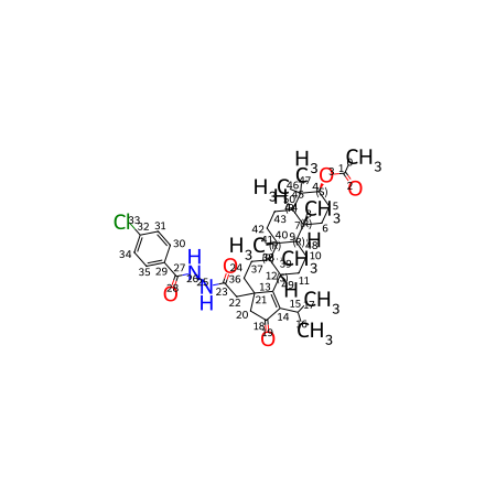 CC(=O)O[C@H]1CC[C@]2(C)[C@H]3CC[C@@H]4C5=C(C(C)C)C(=O)CC5(CC(=O)NNC(=O)c5ccc(Cl)cc5)CC[C@@]4(C)[C@]3(C)CC[C@H]2C1(C)C